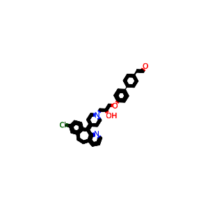 O=CC[C@H]1CC[C@H](c2ccc(OCC(O)CN3CCC(=C4c5ccc(Cl)cc5CCc5cccnc54)CC3)cc2)CC1